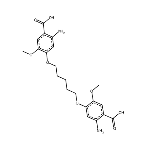 COc1cc(C(=O)O)c(N)cc1OCCCCCOc1cc(N)c(C(=O)O)cc1OC